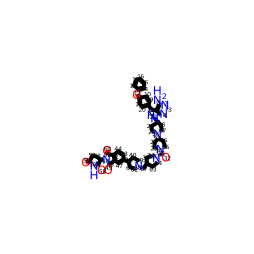 Nc1ncnc2c1c(-c1ccc(Oc3ccccc3)cc1)nn2C1CCN(C2CCN(C(=O)N3CCC(CN4CCC(c5ccc6c(c5)C(=O)N(C5CCC(=O)NC5=O)C6=O)CC4)CC3)CC2)CC1